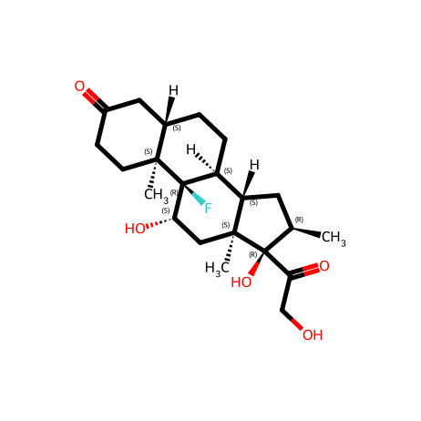 C[C@@H]1C[C@H]2[C@@H]3CC[C@H]4CC(=O)CC[C@]4(C)[C@@]3(F)[C@@H](O)C[C@]2(C)[C@@]1(O)C(=O)CO